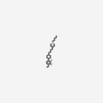 CCCCC[SiH]1CCC(CCCCC2CCC(c3ccc(CC)c(F)c3F)CC2)CC1